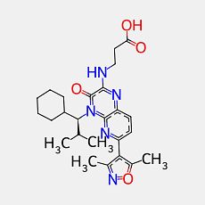 Cc1noc(C)c1-c1ccc2nc(NCCC(=O)O)c(=O)n([C@@H](C(C)C)C3CCCCC3)c2n1